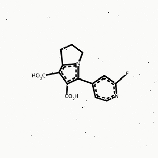 O=C(O)c1c(C(=O)O)c(-c2ccnc(F)c2)n2c1CCC2